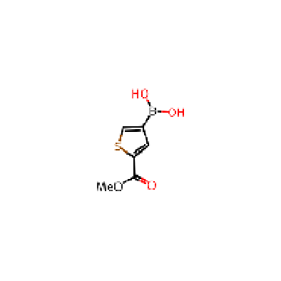 COC(=O)c1cc(B(O)O)cs1